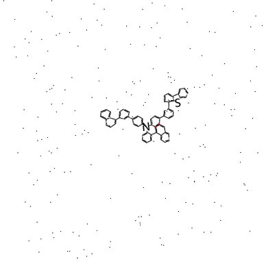 c1cc(-c2ccc(N(c3ccc(-c4cccc(-c5cccc6c5sc5ccccc56)c4)cc3)c3ccccc3-c3cccc4ccccc34)cc2)cc(-c2cccc3ccccc23)c1